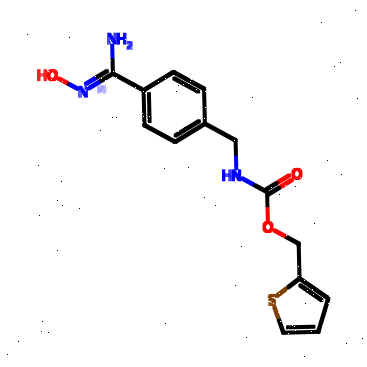 N/C(=N\O)c1ccc(CNC(=O)OCc2cccs2)cc1